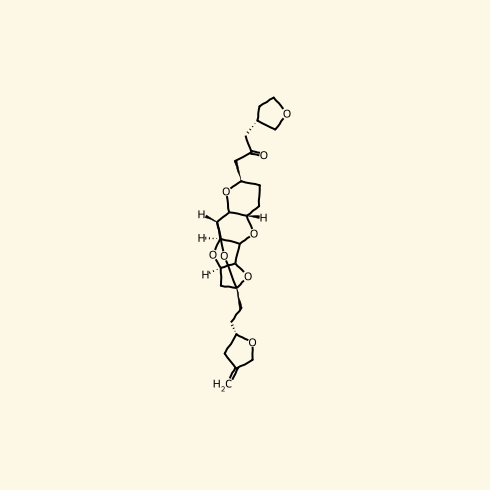 C=C1CO[C@@H](CC[C@@]23C[C@H]4O[C@@H]5C(O[C@H]6CC[C@H](CC(=O)C[C@@H]7CCOC7)OC6[C@@H]5O2)C4O3)C1